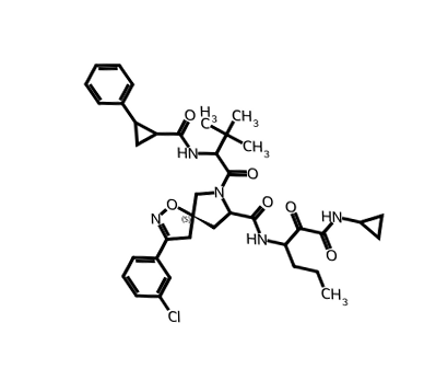 CCCC(NC(=O)C1C[C@]2(CC(c3cccc(Cl)c3)=NO2)CN1C(=O)C(NC(=O)C1CC1c1ccccc1)C(C)(C)C)C(=O)C(=O)NC1CC1